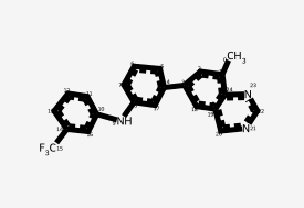 Cc1cc(-c2cccc(Nc3cccc(C(F)(F)F)c3)c2)cc2cncnc12